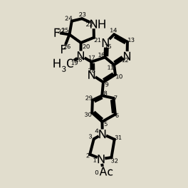 CC(=O)N1CCN(c2ccc(-c3cc4nccnc4c(N(C)C4CNCCC4(F)F)n3)cc2)CC1